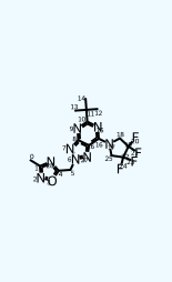 Cc1noc(Cn2nc3nc(C(C)(C)C)nc(N4CC(F)(F)C(F)(F)C4)c3n2)n1